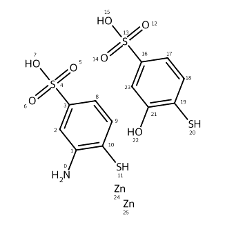 Nc1cc(S(=O)(=O)O)ccc1S.O=S(=O)(O)c1ccc(S)c(O)c1.[Zn].[Zn]